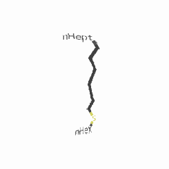 CCCCCCCCCCCC[CH]SCCCCCC